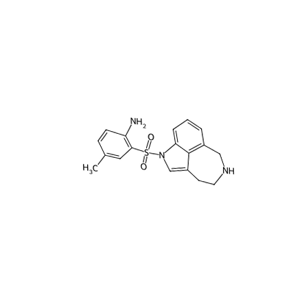 Cc1ccc(N)c(S(=O)(=O)n2cc3c4c(cccc42)CNCC3)c1